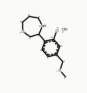 COCc1ccc(C2COCCCN2)c(Cl)c1.Cl